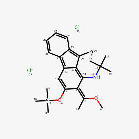 COC(C)=c1c(O[Si](C)(C)C)cc2c(c1NC(C)(C)C)[C]([Zr+2])=c1ccccc1=2.[Cl-].[Cl-]